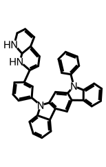 C1=CC2=CC=C(c3cccc(-n4c5ccccc5c5cc6c7ccccc7n(-c7ccccc7)c6cc54)c3)NC2NC1